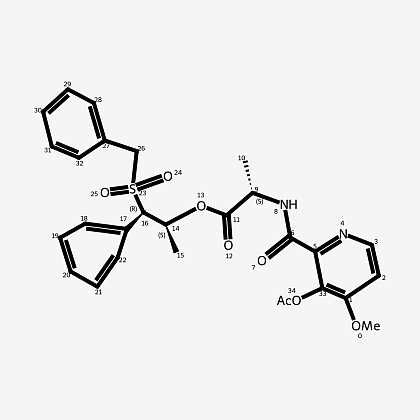 COc1ccnc(C(=O)N[C@@H](C)C(=O)O[C@@H](C)[C@@H](c2ccccc2)S(=O)(=O)Cc2ccccc2)c1OC(C)=O